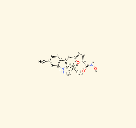 Cc1ccc2c(Cc3ccc(C(=O)N=O)o3)c(C(C)(C)C)[nH]c2c1